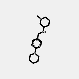 CN1CCCC(NCc2cnc(N3CCCCC3)nc2)C1